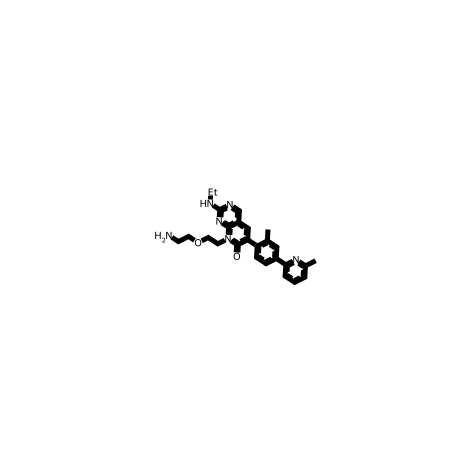 CCNc1ncc2cc(-c3ccc(-c4cccc(C)n4)cc3C)c(=O)n(CCOCCN)c2n1